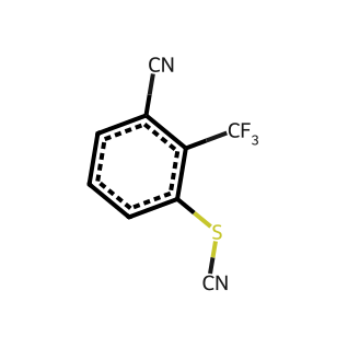 N#CSc1cccc(C#N)c1C(F)(F)F